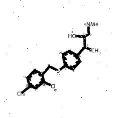 CNCC(O)C(C)c1ccc(SCc2ccc(Cl)cc2Cl)cc1